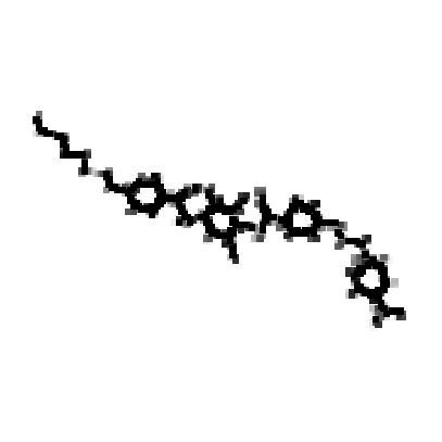 CCCCCCCCc1ccc(C(=O)Oc2cc(C)c(OC(=O)c3ccc(OCC[n+]4ccc(N(C)C)cc4)cc3)c(C)c2C)cc1